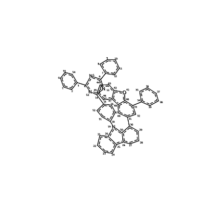 c1ccc(-c2nc(-c3ccccc3)nc(-c3ccc(-n4c5ccccc5c5cccc(-c6cc(-c7ccccc7)c7oc8ccccc8c7c6)c54)cc3)n2)cc1